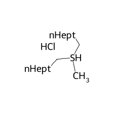 CCCCCCCC[SH](C)CCCCCCCC.Cl